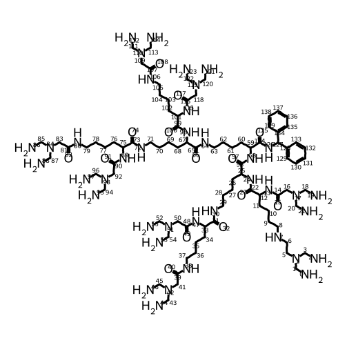 NCN(CN)CCNCCCCC(NC(=O)CN(CN)CN)C(=O)NC(CCCCNC(=O)C(CCCCNC(=O)CN(CN)CN)NC(=O)CN(CN)CN)C(=O)NC(CCCCNC(=O)C(CCCCNC(=O)C(CCCCNC(=O)CN(CN)CN)NC(=O)CN(CN)CN)NC(=O)C(CCCCNC(=O)CN(CN)CN)NC(=O)CN(CN)CN)C(=O)NC(c1ccccc1)c1ccccc1